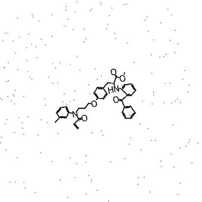 C=CC(=O)N(CCCOc1ccc(C[C@H](Nc2ccccc2C(=O)c2ccccc2)C(=O)OC)cc1)c1cccc(C)c1